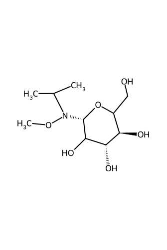 CON(C(C)C)[C@@H]1OC(CO)[C@@H](O)[C@H](O)C1O